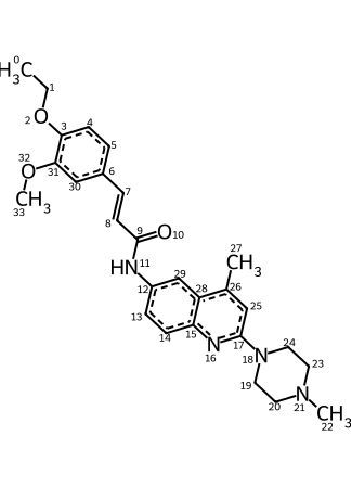 CCOc1ccc(C=CC(=O)Nc2ccc3nc(N4CCN(C)CC4)cc(C)c3c2)cc1OC